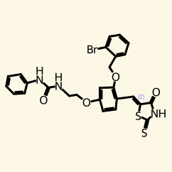 O=C(NCCOc1ccc(/C=C2\SC(=S)NC2=O)c(OCc2ccccc2Br)c1)Nc1ccccc1